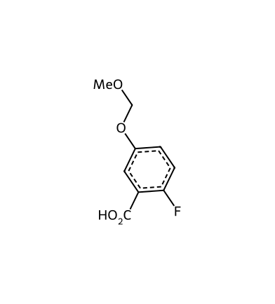 COCOc1ccc(F)c(C(=O)O)c1